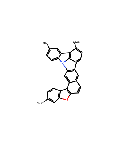 COc1ccc2c(c1)oc1ccc3cc4c5ccc(OC)c6c7cc(C(C)(C)C)ccc7n(c4cc3c12)c56